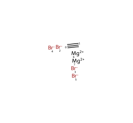 C#C.[Br-].[Br-].[Br-].[Br-].[Mg+2].[Mg+2]